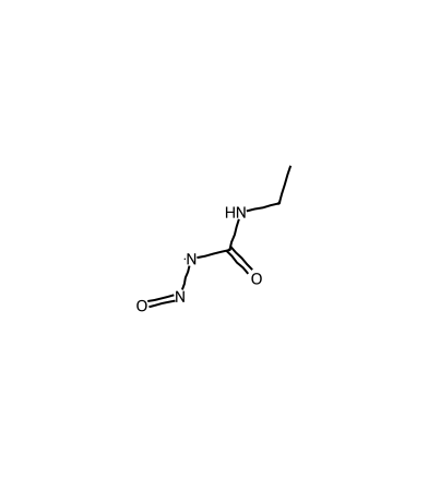 CCNC(=O)[N]N=O